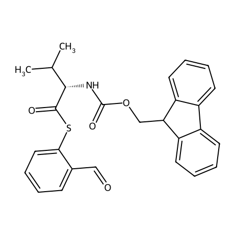 CC(C)[C@H](NC(=O)OCC1c2ccccc2-c2ccccc21)C(=O)Sc1ccccc1C=O